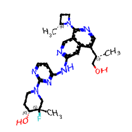 C[C@H](CO)c1cnc(N2CC[C@H]2C)c2cnc(Nc3ccnc(N4CC[C@@H](O)[C@@](C)(F)C4)n3)cc12